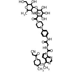 CC(=O)NC1C(OC2OC(C(=O)N3CCN(c4ccc(NC(=O)CNC(=O)n5ccc6c(N(C)[C@H]7CN(C(=O)CC#N)CC[C@H]7C)ncnc65)cc4)CC3)C(O)C(O)C2O)C(O)C(CO)O[C@@H]1C